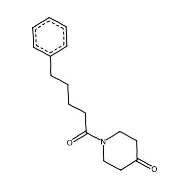 O=C1CCN(C(=O)CCCCc2ccccc2)CC1